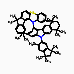 Cc1cc2c(cc1-n1c3cc4c(cc3c3c5cc(cc31)C(C)(C)c1ccc3c(c1)C(C)(C)c1cccc(c1-3)N5c1cc(C(C)(C)C)ccc1S)C(C)(C)CCC4(C)C)C(C)(C)CC2(C)C